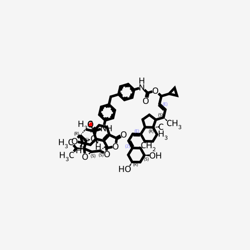 C=C1/C(=C\C=C2/CCC[C@@]3(C)C2CCC3[C@@H](C)/C=C/C(OC(=O)Nc2ccc(Cc3ccc(NC(=O)O[C@@H]([C@@]45C[C@@]6(C)CCC7=C(COC7=O)[C@@H]6C[C@@H]4O5)[C@@]4(C(C)C)O[C@H]4[C@@H]4CO4)cc3)cc2)C2CC2)C[C@@H](O)C[C@@H]1O